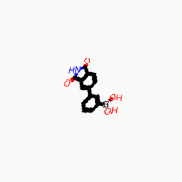 O=C1NC(=O)c2cc(-c3cccc(B(O)O)c3)ccc21